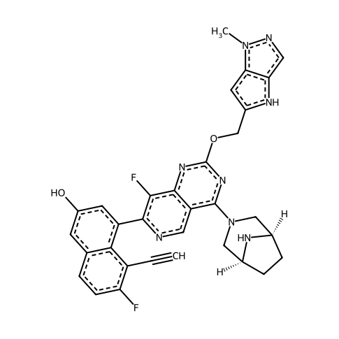 C#Cc1c(F)ccc2cc(O)cc(-c3ncc4c(N5C[C@H]6CC[C@@H](C5)N6)nc(OCc5cc6c(cnn6C)[nH]5)nc4c3F)c12